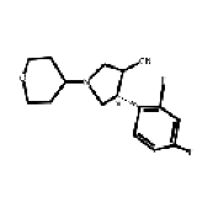 N#CC1CN(C2CCOCC2)C[C@H]1c1ccc(F)cc1F